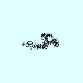 CCC(=O)O[C@H]1C(O[C@@H]2[C@@H](C)[C@H](OC3C[C@](C)(OC)[C@@H](OC(=O)CCOCCNc4cc5c(=O)c(C(=O)OC(C)C)cn(C6CC6)c5cc4Cl)[C@H](C)O3)[C@@H](C)C(=O)O[C@H](CC)[C@@](C)(O)[C@H](O)[C@@H](C)N(C)C[C@H](C)C[C@@]2(C)O)O[C@H](C)C[C@@H]1N(C)C